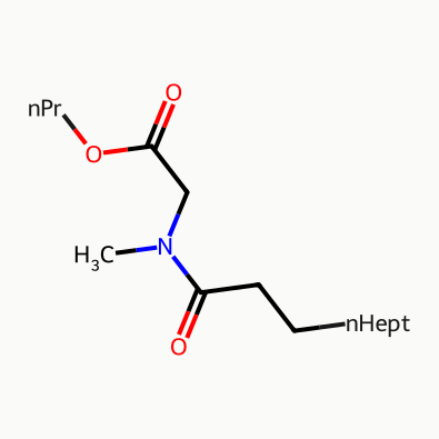 CCCCCCCCCC(=O)N(C)CC(=O)OCCC